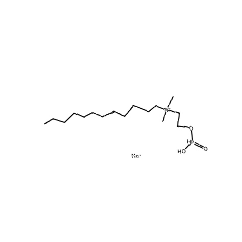 CCCCCCCCCCCC[N+](C)(C)CCO[PH](=O)O.[Na+]